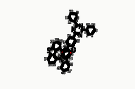 c1ccc(-c2nc(-c3ccccc3)nc(-c3ccc4c(c3)oc3cccc(-c5cccc6sc7cccc(-n8c9ccccc9c9ccccc98)c7c56)c34)n2)cc1